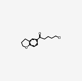 O=C(CCCCCl)c1ccc2c(c1)CCCO2